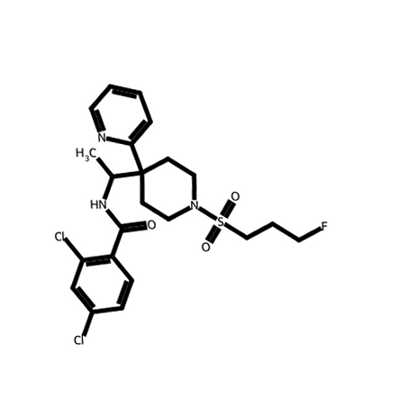 CC(NC(=O)c1ccc(Cl)cc1Cl)C1(c2ccccn2)CCN(S(=O)(=O)CCCF)CC1